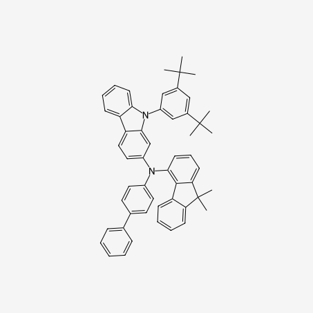 CC(C)(C)c1cc(-n2c3ccccc3c3ccc(N(c4ccc(-c5ccccc5)cc4)c4cccc5c4-c4ccccc4C5(C)C)cc32)cc(C(C)(C)C)c1